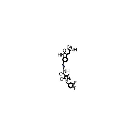 Cc1c(C(=O)NC/C=C/c2ccc3c(c2)NC(=O)C3=Cc2cnc[nH]2)c(=O)n(Cc2ccc(F)c(F)c2)n1C